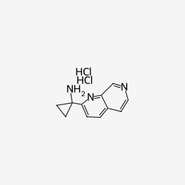 Cl.Cl.NC1(c2ccc3ccncc3n2)CC1